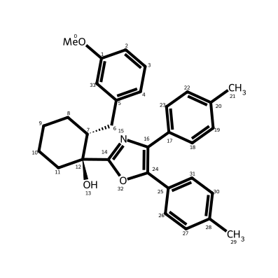 COc1cccc(C[C@H]2CCCC[C@@]2(O)c2nc(-c3ccc(C)cc3)c(-c3ccc(C)cc3)o2)c1